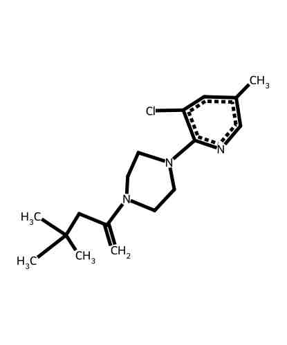 C=C(CC(C)(C)C)N1CCN(c2ncc(C)cc2Cl)CC1